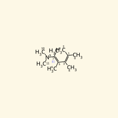 CC(C)=C(C)/C(C)=C(\C)N(C)C